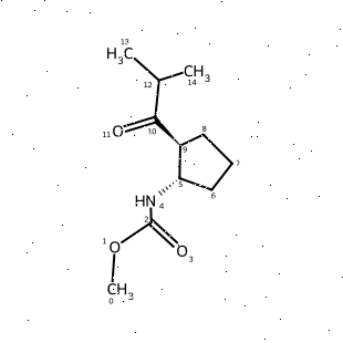 COC(=O)N[C@H]1CCC[C@@H]1C(=O)C(C)C